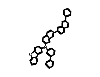 c1ccc(-c2cccc(N(c3ccc4ccc(-c5ccc6ccc(-c7ccccc7)cc6c5)cc4c3)c3ccc4oc5ccccc5c4c3)c2)cc1